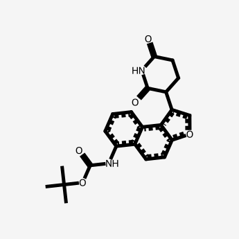 CC(C)(C)OC(=O)Nc1cccc2c1ccc1occ(C3CCC(=O)NC3=O)c12